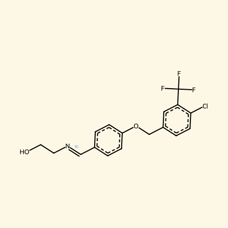 OCC/N=C/c1ccc(OCc2ccc(Cl)c(C(F)(F)F)c2)cc1